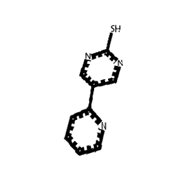 Sc1ncc(-c2ccccn2)cn1